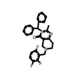 Cc1nc2c(c(=O)n1C(c1ccccc1)c1ccccc1)CN(Cc1c(F)ccc(F)c1F)CC2